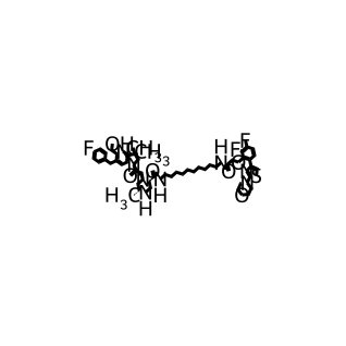 C[C@@H]1CN(CC(=O)N2CC(C)(C)c3nc(CO)c(Cc4ccc(F)cc4)cc32)[C@@H](C(=O)NCCCCCCCCCCNC(=O)COc2c(-c3csc(N4CCOCC4)n3)ccc(F)c2F)CN1